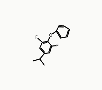 CC(C)c1cc(F)c(Oc2ccccc2)c(F)c1